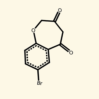 O=C1COc2ccc(Br)cc2C(=O)C1